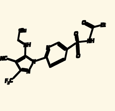 CCC(=O)NS(=O)(=O)c1ccc(-n2nc(C(F)(F)F)c(C#N)c2NCC(C)(C)C)nc1